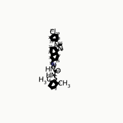 Cc1cccc(C)c1SNC(=O)N/N=C/c1ccc2c(ccc3c2ncn3-c2ccc(Cl)cc2)c1